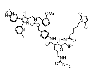 COc1ccccc1CN(Cc1nc(-c2cccc(C)n2)c(-c2ccc3ncnn3c2)[nH]1)C(=O)OCc1ccc(NC(=O)[C@H](CCCNC(N)=O)NC(=O)C(NC(=O)CCCCCN2C(=O)C=CC2=O)C(C)C)cc1